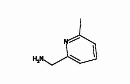 Cc1cccc(CN)n1